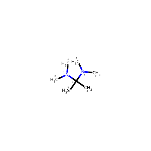 CN(C)C(C)([SiH3])N(C)C